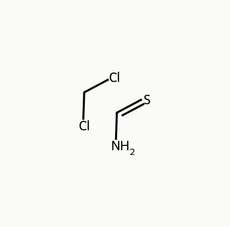 ClCCl.NC=S